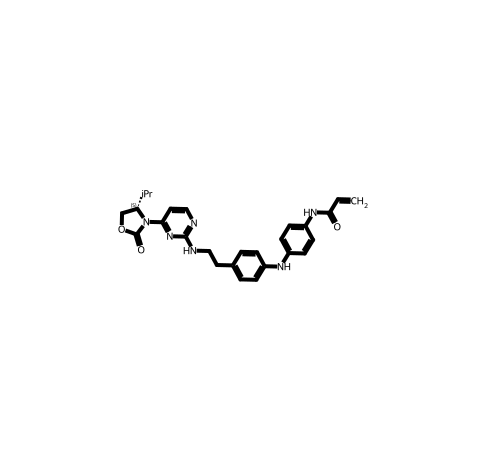 C=CC(=O)Nc1ccc(Nc2ccc(CCNc3nccc(N4C(=O)OC[C@@H]4C(C)C)n3)cc2)cc1